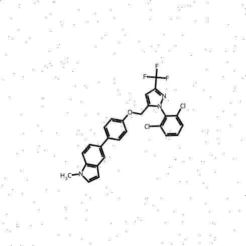 Cn1ccc2cc(-c3ccc(OCc4cc(C(F)(F)F)nn4-c4c(Cl)cccc4Cl)cc3)ccc21